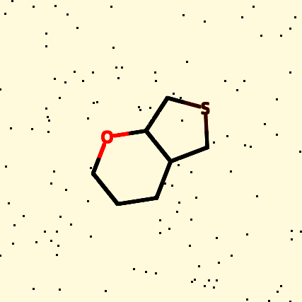 C1COC2CSCC2C1